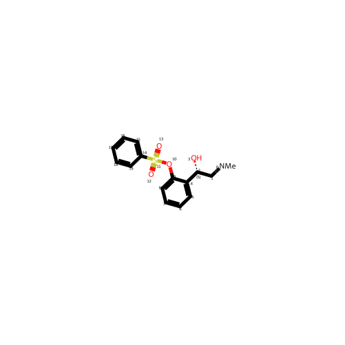 CNC[C@@H](O)c1ccccc1OS(=O)(=O)c1ccccc1